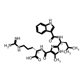 Cc1[nH]c([C@H](CC(C)C)NC(=O)c2c[nH]c3ccccc23)nc1C(=O)N[C@@H](CCCNC(=N)N)C(=O)O